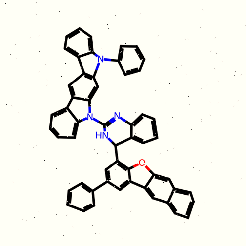 c1ccc(-c2cc(C3NC(n4c5ccccc5c5cc6c7ccccc7n(-c7ccccc7)c6cc54)=Nc4ccccc43)c3oc4cc5ccccc5cc4c3c2)cc1